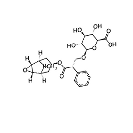 CN1[C@@H]2C[C@@H](OC(=O)[C@H](CO[C@@H]3O[C@H](C(=O)O)[C@@H](O)[C@H](O)[C@H]3O)c3ccccc3)C[C@H]1[C@@H]1O[C@@H]12